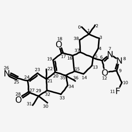 CC1(C)CCC2(c3nnc(CF)o3)CCC3C(C(=O)C=C4C5(C)C=C(C#N)C(=O)C(C)(C)C5CCC43C)C2C1